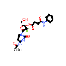 CC(C)COC(=O)Nc1ccn([C@@H]2O[C@H](CO)[C@@H](OC(=O)CCC(=O)Nc3ccccc3)C2(F)F)c(=O)n1